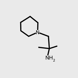 CC(C)(N)CN1CCCCC1